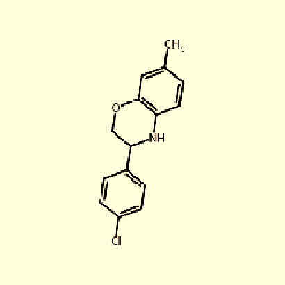 Cc1ccc2c(c1)OCC(c1ccc(Cl)cc1)N2